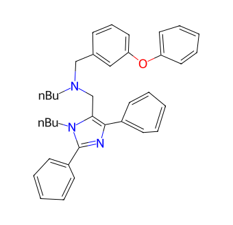 CCCCN(Cc1cccc(Oc2ccccc2)c1)Cc1c(-c2ccccc2)nc(-c2ccccc2)n1CCCC